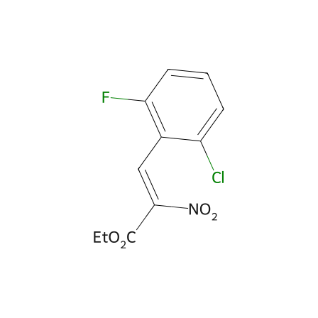 CCOC(=O)/C(=C/c1c(F)cccc1Cl)[N+](=O)[O-]